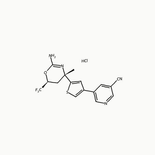 C[C@@]1(c2cc(-c3cncc(C#N)c3)cs2)C[C@@H](C(F)(F)F)OC(N)=N1.Cl